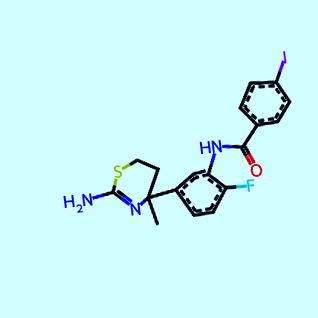 CC1(c2ccc(F)c(NC(=O)c3ccc(I)cc3)c2)CCSC(N)=N1